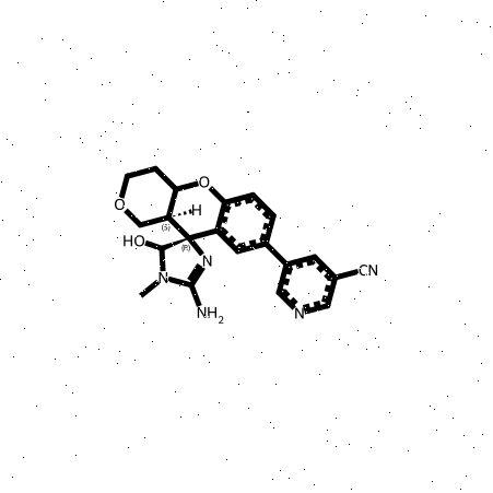 CN1C(N)=N[C@]2(c3cc(-c4cncc(C#N)c4)ccc3OC3CCOC[C@@H]32)C1O